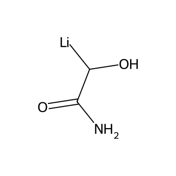 [Li][CH](O)C(N)=O